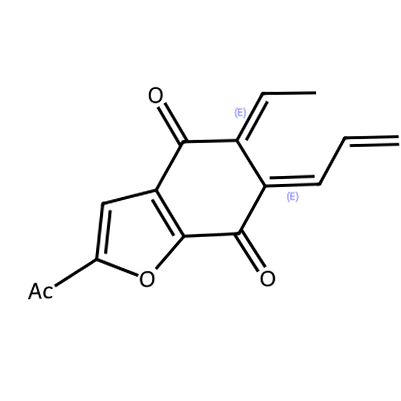 C=C/C=C1/C(=O)c2oc(C(C)=O)cc2C(=O)/C1=C/C